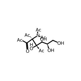 CC(=O)C(=O)[C@@](C(C)=O)(N(C(C)=O)C(C)=O)[C@](O)(C(C)=O)[C@H](O)[C@H](O)CO